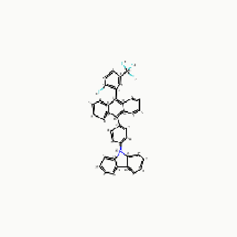 Fc1ccc(C(F)(F)F)cc1-c1c2ccccc2c(-c2ccc(-n3c4ccccc4c4ccccc43)cc2)c2ccccc12